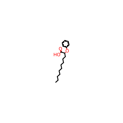 CCCCCCCCCCC(Oc1ccccc1)C(=O)O